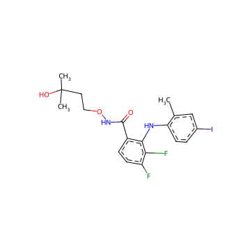 Cc1cc(I)ccc1Nc1c(C(=O)NOCCC(C)(C)O)ccc(F)c1F